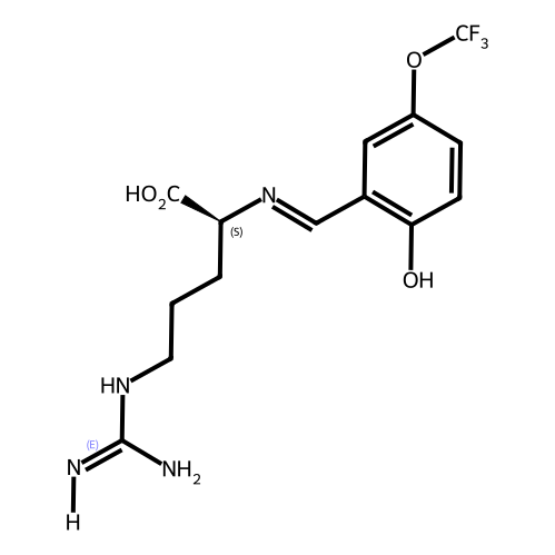 [H]/N=C(\N)NCCC[C@H](N=Cc1cc(OC(F)(F)F)ccc1O)C(=O)O